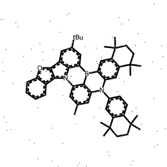 Cc1cc2c3c(c1)-n1c4c(cc(C(C)(C)C)cc4c4oc5ccccc5c41)B3c1cc3c(cc1N2c1ccc2c(c1)C(C)(C)CCC2(C)C)C(C)(C)CCC3(C)C